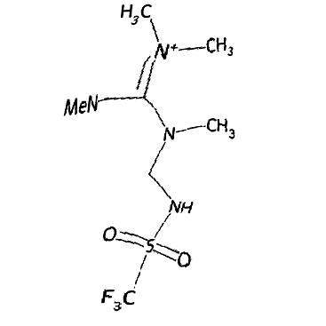 CNC(N(C)CNS(=O)(=O)C(F)(F)F)=[N+](C)C